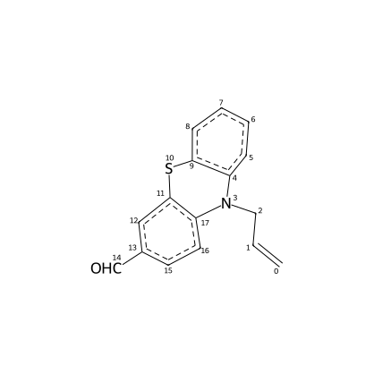 C=CCN1c2ccccc2Sc2cc(C=O)ccc21